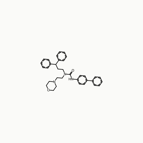 O=C(Nc1ccc(-c2ccccc2)cc1)N(CCC(c1ccccc1)c1ccccc1)CCN1CCOCC1